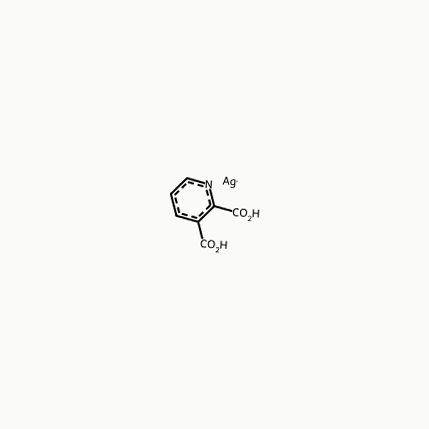 O=C(O)c1cccnc1C(=O)O.[Ag]